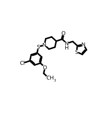 CCOc1cc(Cl)cc(SN2CCC(C(=O)NCc3nccs3)CC2)c1